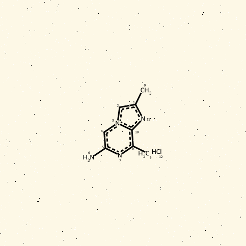 Cc1cn2cc(N)nc(C)c2n1.Cl